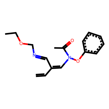 C=CC(=C/N(Oc1ccccc1)C(C)=O)/C=N/COCC